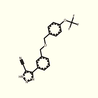 N#Cc1[nH]nnc1-c1cccc(COCc2ccc(OC(F)(F)F)cc2)c1